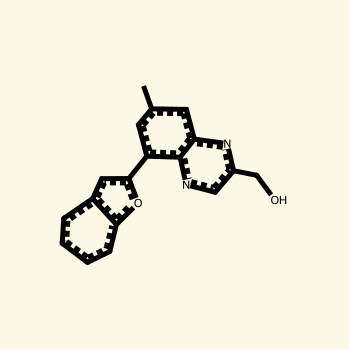 Cc1cc(-c2cc3ccccc3o2)c2ncc(CO)nc2c1